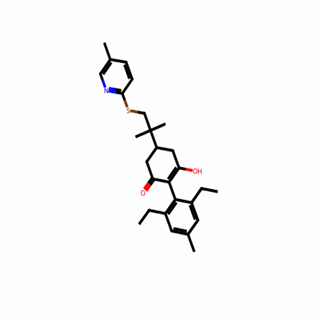 CCc1cc(C)cc(CC)c1C1=C(O)CC(C(C)(C)CSc2ccc(C)cn2)CC1=O